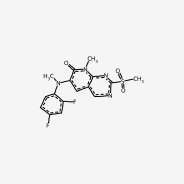 CN(c1ccc(F)cc1F)c1cc2cnc(S(C)(=O)=O)nc2n(C)c1=O